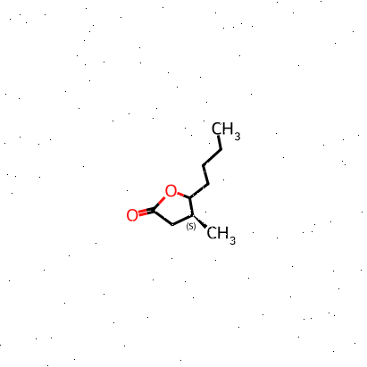 CCCCC1OC(=O)C[C@@H]1C